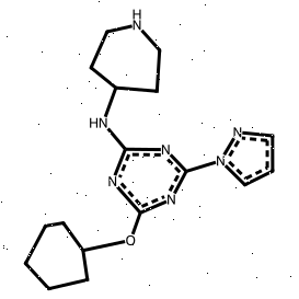 c1cnn(-c2nc(NC3CCNCC3)nc(OC3CCCCC3)n2)c1